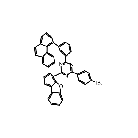 CC(C)(C)c1ccc(-c2nc(-c3cccc(-c4cccc5ccc6ccccc6c45)c3)nc(-c3cccc4c3oc3ccccc34)n2)cc1